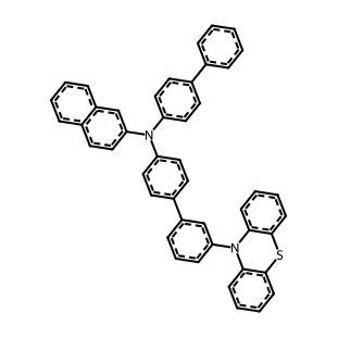 c1ccc(-c2ccc(N(c3ccc(-c4cccc(N5c6ccccc6Sc6ccccc65)c4)cc3)c3ccc4ccccc4c3)cc2)cc1